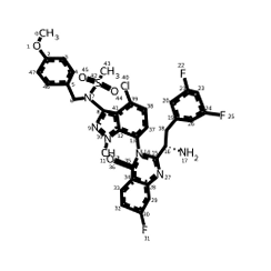 COc1ccc(CN(c2nn(C)c3c(-n4c([C@@H](N)Cc5cc(F)cc(F)c5)nc5cc(F)ccc5c4=O)ccc(Cl)c23)S(C)(=O)=O)cc1